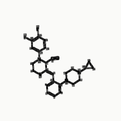 O=CC1C(=Cc2ccccc2N2CCN(C3CC3)CC2)SCCN1c1ccc(F)c(F)c1